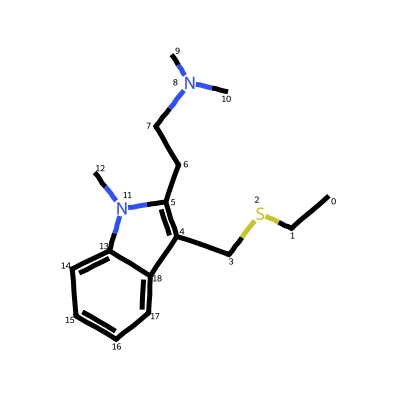 CCSCc1c(CCN(C)C)n(C)c2ccccc12